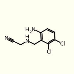 N#CCNCc1c(N)ccc(Cl)c1Cl